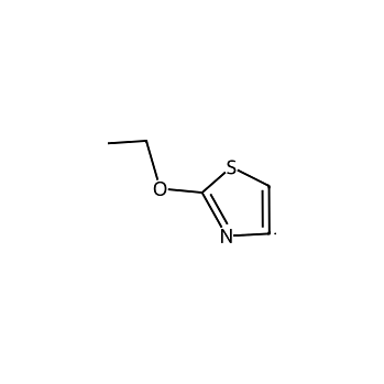 CCOc1n[c]cs1